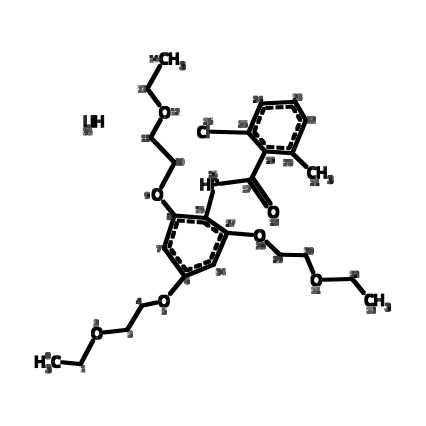 CCOCCOc1cc(OCCOCC)c(PC(=O)c2c(C)cccc2Cl)c(OCCOCC)c1.[LiH]